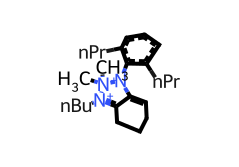 CCCC[N+]1=C2CCCC=C2N(c2c(CCC)cccc2CCC)[N+]1(C)C